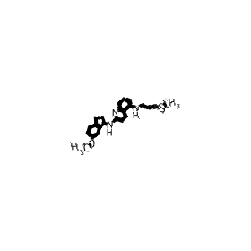 COc1ccc2c(c1)C(Nc1ccc3c(NCCCSC)cccc3n1)CC2